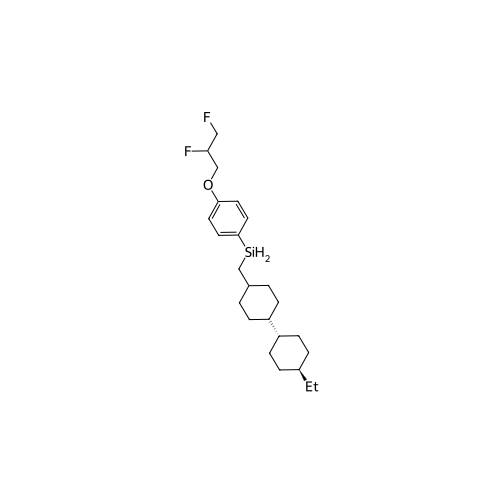 CC[C@H]1CC[C@H](C2CCC(C[SiH2]c3ccc(OCC(F)CF)cc3)CC2)CC1